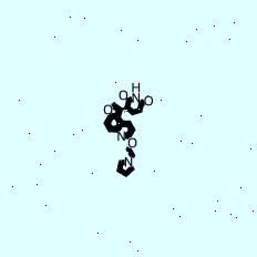 O=C1CC[C@@H](c2coc3ccc4nc(OCCN5CCCC5)ccc4c23)C(=O)N1